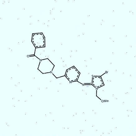 COCn1cc(Br)s/c1=N\c1cccc(CN2CCN(C(=O)c3ccccc3)CC2)n1